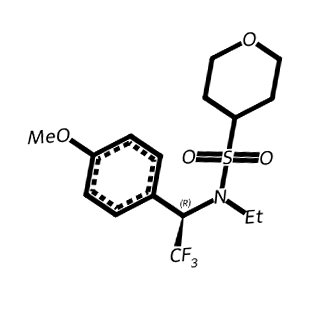 CCN([C@H](c1ccc(OC)cc1)C(F)(F)F)S(=O)(=O)C1CCOCC1